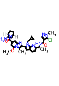 COc1cc(C(=O)N2[C@H]3CC[C@@H]2[C@H](N)C3)cc2nc(-c3cc4ccc([C@@H](C)NC(=O)c5cnn(C)c5Cl)nc4n3CC3CC3)c(C)n12